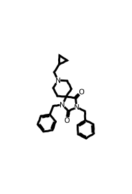 O=C1N(Cc2ccccc2)C(=O)C2(CCN(CC3CC3)CC2)N1Cc1ccccc1